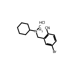 CN(Cc1cc(Br)ccc1C#N)C1CCCCC1.Cl